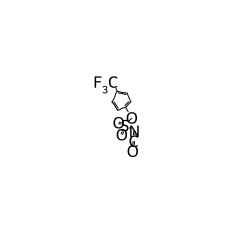 O=C=NS(=O)(=O)Oc1ccc(C(F)(F)F)cc1